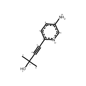 CC(C)(O)C#Cc1ccc(N)cn1